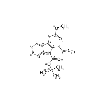 C=CCc1c(CC(=O)OC)c2ccccc2n1C(=O)OC(C)(C)C